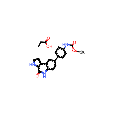 CC(C)(C)OC(=O)Nc1ccc(-c2ccc3[nH]c(=O)c4[nH]ccc4c3c2)cc1.CCC(=O)O